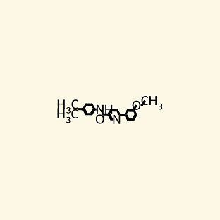 CCOc1cccc(-c2ccc(C(=O)Nc3ccc(C(C)C)cc3)cn2)c1